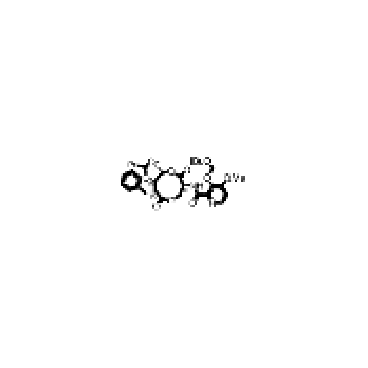 COc1ccnc(C(=O)N[C@H]2COC(=O)[C@H](Cc3ccccc3)[C@@H](OC(=O)C(C)C)[C@H](C)OC2=O)c1OCOCC(C)C